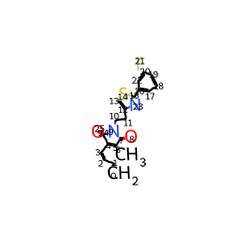 C=C/C=C\C1=C(C)C(=O)N(CCc2csc(-c3cccc(F)c3)n2)C1=O